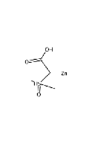 C[SH](C)(=O)CC(=O)O.[Zn]